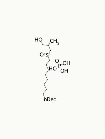 CCCCCCCCCCCCCCCCCC[S+]([O-])CC(C)CO.O=P(O)(O)O